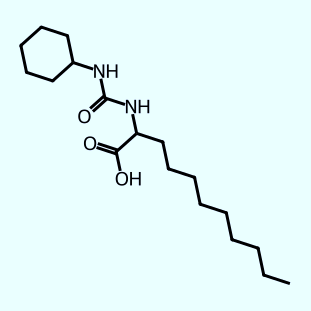 CCCCCCCCCC(NC(=O)NC1CCCCC1)C(=O)O